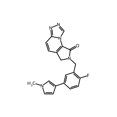 Cn1ccc(-c2ccc(F)c(CN3Cc4ccc5nncn5c4C3=O)c2)c1